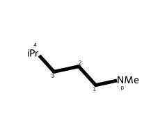 CN[CH]CCC(C)C